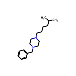 C[C](C)CCCCN1CCN(Cc2ccccc2)CC1